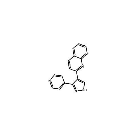 c1ccc2nc(-c3c[nH]nc3-c3ccncc3)ccc2c1